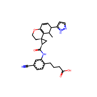 CC1C2=C(C=CC1c1ccn[nH]1)OCC[C@]21C[C@H]1C(=O)Nc1cc(C#N)ccc1CCCC(=O)O